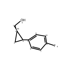 OC[C@@H]1CC1c1ccc(F)cc1